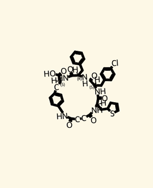 O=C1CCC(=O)N[C@H](CC2CC=CS2)C(=O)N[C@@H](Cc2ccc(Cl)cc2)C(=O)N[C@H](Cc2ccccc2)C(=O)N[C@H](C(=O)O)Cc2ccc(cc2)N1